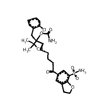 CC(C)(C)C(CCCCCC(=O)c1cc2c(c(S(N)(=O)=O)c1)OCC2)(Cc1ccccc1Cl)OC(N)=O